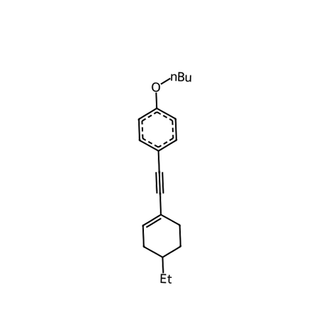 CCCCOc1ccc(C#CC2=CCC(CC)CC2)cc1